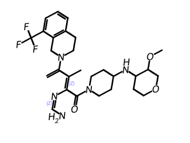 C=C(/C(C)=C(\N=C/N)C(=O)N1CCC(NC2CCOCC2OC)CC1)N1CCc2cccc(C(F)(F)F)c2C1